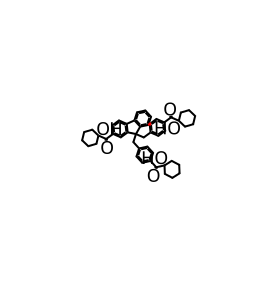 O=C(c1ccc(CC2(Cc3ccc(C(=O)C4(O)CCCCC4)cc3)c3ccccc3-c3ccc(C(=O)C4(O)CCCCC4)cc32)cc1)C1(O)CCCCC1